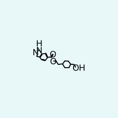 O=C(OCCC1CCC(CO)CC1)c1ccc2cn[nH]c2c1